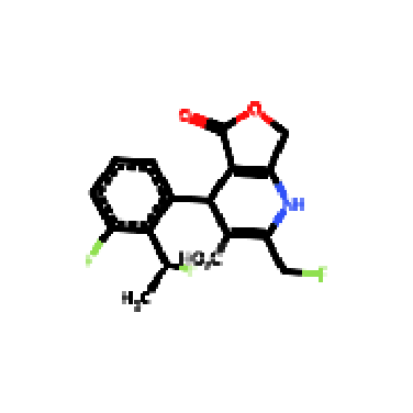 C[C@H](F)c1c(F)cccc1C1C(C(=O)O)=C(CF)NC2=C1C(=O)OC2